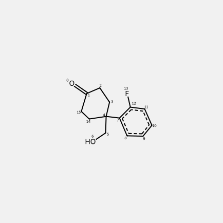 O=C1CCC(CO)(c2ccccc2F)CC1